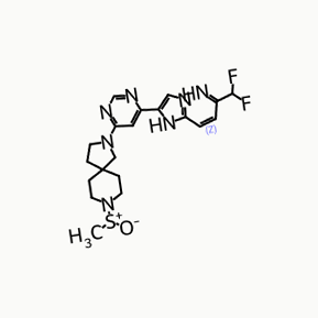 C[S+]([O-])N1CCC2(CCN(c3cc(-c4cnc(/C=C\C(=N)C(F)F)[nH]4)ncn3)C2)CC1